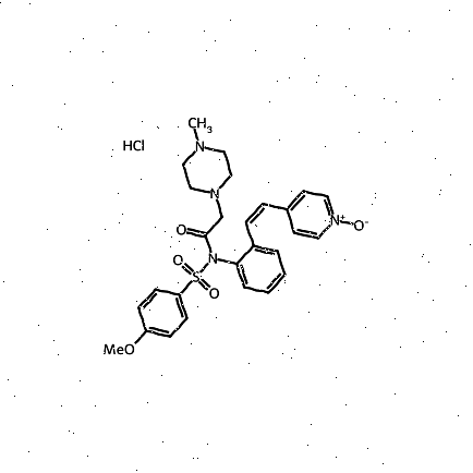 COc1ccc(S(=O)(=O)N(C(=O)CN2CCN(C)CC2)c2ccccc2C=Cc2cc[n+]([O-])cc2)cc1.Cl